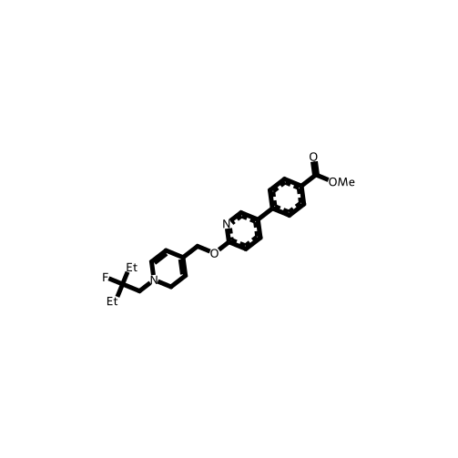 CCC(F)(CC)CN1C=CC(COc2ccc(-c3ccc(C(=O)OC)cc3)cn2)=CC1